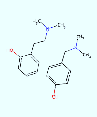 CN(C)CCc1ccccc1O.CN(C)Cc1ccc(O)cc1